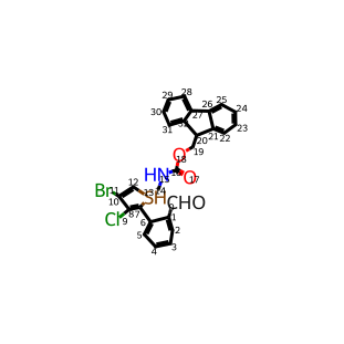 O=Cc1ccccc1C1=C(Cl)C(Br)=C[SH]1CNC(=O)OCC1c2ccccc2-c2ccccc21